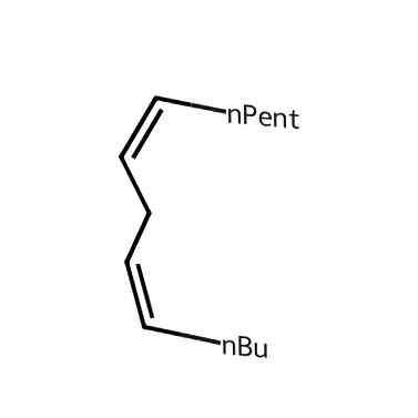 [CH2]CCC/C=C\C/C=C\CCCCC